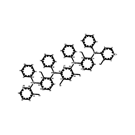 Cc1cnccc1N(c1ccccc1)c1ccnc(N(c2ccccc2)c2nc(N(c3ccccc3)c3ccnc(N(c4ccccc4)c4ncccc4C)c3C)c(C)cc2C)c1C